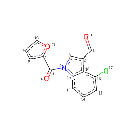 O=Cc1cn(C(=O)c2ccco2)c2cccc(Cl)c12